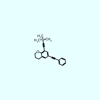 C[Si](C)(C)C#Cc1cc(C#Cc2ccccc2)cc2c1OCCC2